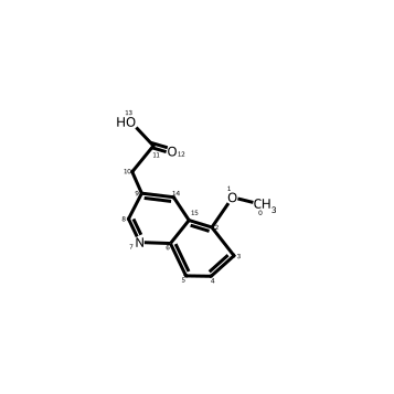 COc1cccc2ncc(CC(=O)O)cc12